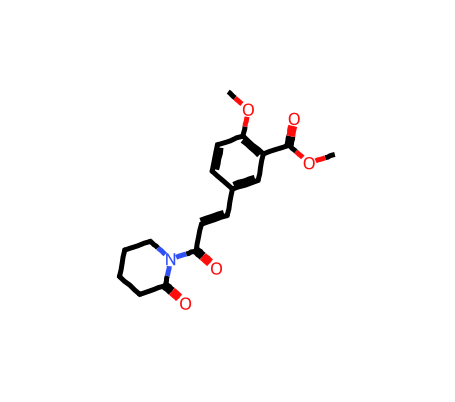 COC(=O)c1cc(C=CC(=O)N2CCCCC2=O)ccc1OC